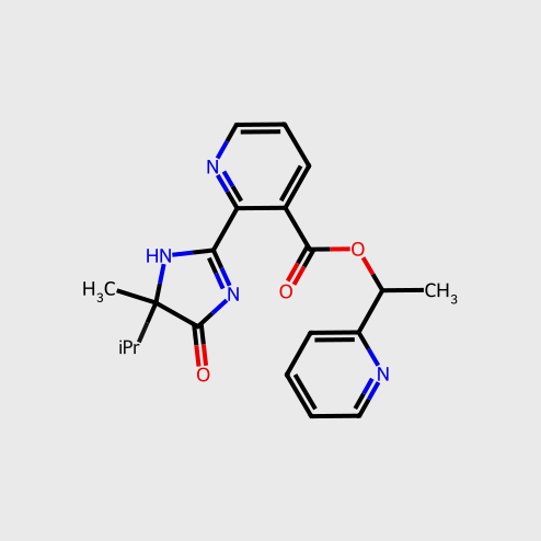 CC(OC(=O)c1cccnc1C1=NC(=O)C(C)(C(C)C)N1)c1ccccn1